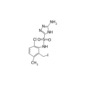 Cc1ccc(Cl)c(NS(=O)(=O)c2nnc(N)[nH]2)c1CI